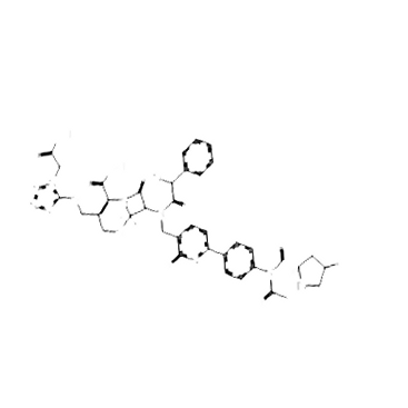 CC(=O)N(C(=O)[C@@H]1CC(O)CN1)c1ccc(-c2ccc(CN(C(=O)C(N)c3ccccc3)C3C(=O)N4C(C(=O)O)=C(CSc5nnnn5CC(=O)O)CS[C@@H]34)c(=O)[nH]2)cc1